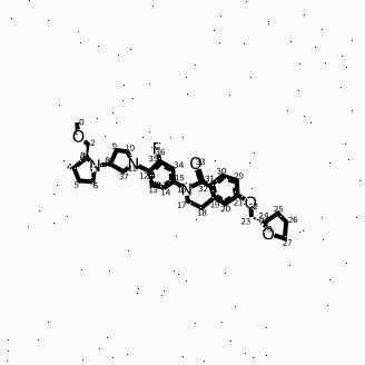 COC[C@@H]1CCCN1C1CCN(c2ccc(N3CCc4cc(OC[C@@H]5CCCO5)ccc4C3=O)cc2F)C1